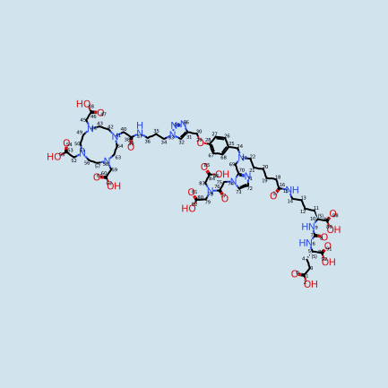 O=C(O)CC[C@H](NC(=O)N[C@@H](CCCCNC(=O)CCCCCN(Cc1ccc(OCc2cn(CCCNC(=O)CN3CCN(CC(=O)O)CCN(CC(=O)O)CCN(CC(=O)O)CC3)nn2)cc1)Cc1nccn1CC(=O)N(CC(=O)O)CC(=O)O)C(=O)O)C(=O)O